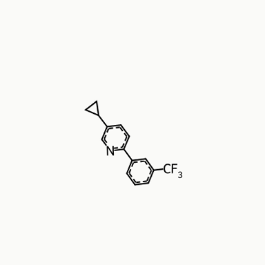 FC(F)(F)c1cccc(-c2ccc(C3CC3)cn2)c1